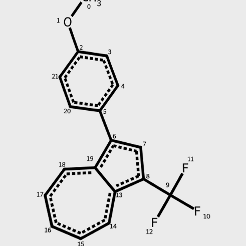 COc1ccc(-c2cc(C(F)(F)F)c3cccccc2-3)cc1